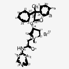 C[N+]1(CC(=O)Nc2ncncn2)CC[C@@H](OC(=O)C(O)(c2ccccc2)c2ccccc2)C1.[Br-]